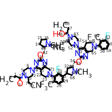 C=CC(=O)N1CCN(c2nc(OC[C@@H]3CCCN3C)nc3c2CCN(c2c(C(F)(F)F)ccc(C4C[C@H](COc5nc6c(c(N7CCN(C(O)C=C)[C@@H](CC#N)C7)n5)CCN(c5cccc(F)c5C(F)(F)F)C6)N(C)C4)c2F)C3)CC1CC#N